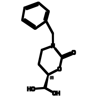 O=C1O[C@@H](C(O)O)CCN1Cc1ccccc1